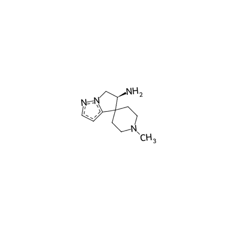 CN1CCC2(CC1)c1ccnn1C[C@H]2N